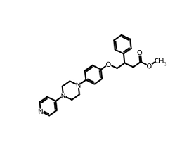 COC(=O)CC(COc1ccc(N2CCN(c3ccncc3)CC2)cc1)c1ccccc1